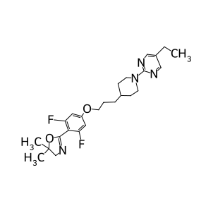 CCc1cnc(N2CCC(CCCOc3cc(F)c(C4=NCC(C)(C)O4)c(F)c3)CC2)nc1